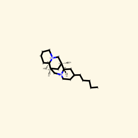 CCCCCC1CCN2C[C@@H]3C[C@@H](CN4CCCC[C@H]34)[C@@H]2C1